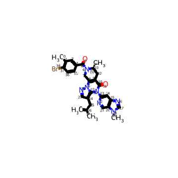 Cc1cc(C(=O)N2Cc3c(c(=O)n(-c4cc5ncn(C)c5cn4)c4c(CC(C)C)cnn34)C[C@@H]2C)ccc1Br